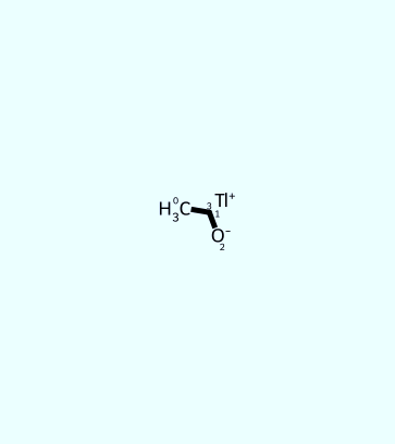 CC[O-].[Tl+]